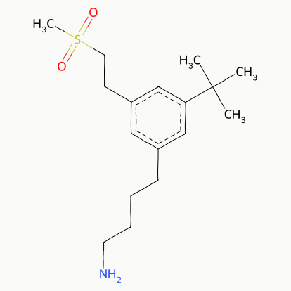 CC(C)(C)c1cc(CCCCN)cc(CCS(C)(=O)=O)c1